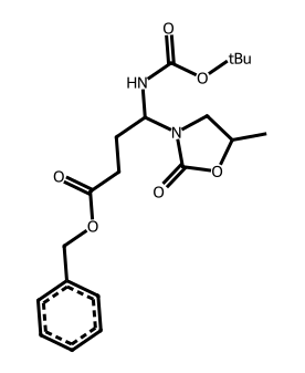 CC1CN(C(CCC(=O)OCc2ccccc2)NC(=O)OC(C)(C)C)C(=O)O1